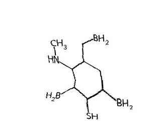 BCC1CC(B)C(S)C(B)C1NC